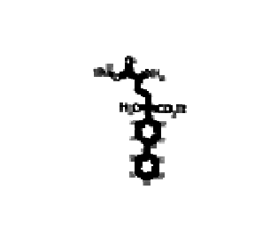 CCOC(=O)C(C)(CCC(N)C(=O)OC(C)(C)C)c1ccc(-c2ccccc2)cc1